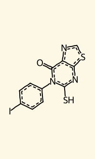 O=c1c2ncsc2nc(S)n1-c1ccc(I)cc1